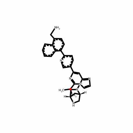 CC(C)C1=NC(c2ccc(-c3ccc(CN)c4ccccc34)nc2)=CC2=NC=C[N+]21N1C[C@@H]2C[C@H]1CN2